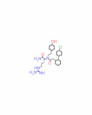 N=C(N)NCCC[C@H](C(N)=O)N(CCc1ccc(O)cc1)C(=O)Cc1ccccc1-c1ccc(Cl)cc1